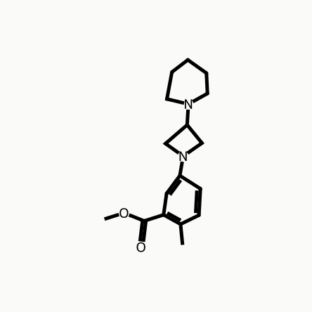 COC(=O)c1cc(N2CC(N3CCCCC3)C2)ccc1C